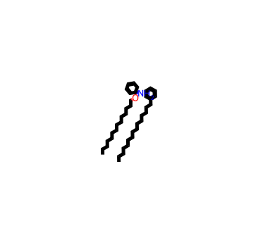 CCCCCCCCCCCCCCCc1ccccc1.CCCCCCCCCCCCCCOC1(N)C=CC=CC1